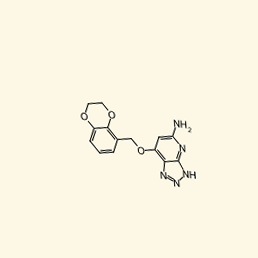 Nc1cc(OCc2cccc3c2OCCO3)c2nn[nH]c2n1